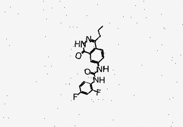 CCCc1n[nH]c(=O)c2cc(NC(=O)Nc3ccc(F)cc3F)ccc12